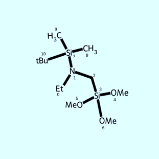 CCN(C[Si](OC)(OC)OC)[Si](C)(C)C(C)(C)C